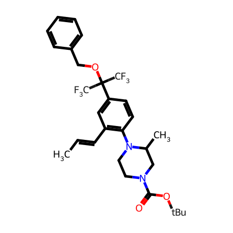 CC=Cc1cc(C(OCc2ccccc2)(C(F)(F)F)C(F)(F)F)ccc1N1CCN(C(=O)OC(C)(C)C)CC1C